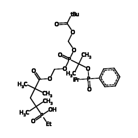 CCP(=O)(O)C(C)(C)CC(C)(C)C(=O)OCOP(=O)(OCOC(=O)C(C)(C)C)C(C)(C)OP(=O)(c1ccccc1)C(C)C